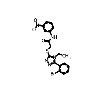 CCn1c(SCC(=O)Nc2cccc([N+](=O)[O-])c2)nnc1-c1ccccc1Br